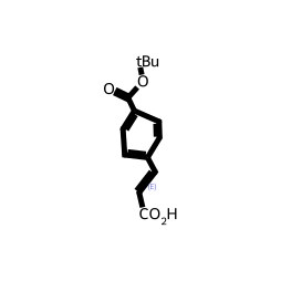 CC(C)(C)OC(=O)c1ccc(/C=C/C(=O)O)cc1